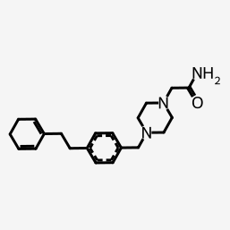 NC(=O)CN1CCN(Cc2ccc(CCC3=CCCC=C3)cc2)CC1